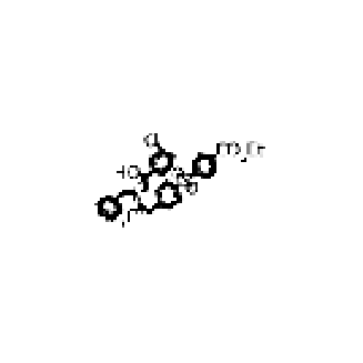 CCOC(=O)c1ccc(S(=O)(=O)c2ccc(C[C@@H](C)N(Cc3ccccc3)C[C@H](O)c3cccc(Cl)c3)cc2)cc1